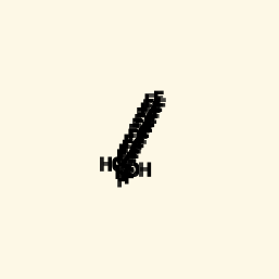 OC(C(O)C(F)(F)C(F)(F)C(F)(F)C(F)(F)C(F)(F)C(F)(F)C(F)(F)C(F)(F)C(F)(F)C(F)(F)C(F)(F)C(F)(F)F)C(F)(F)F